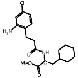 COC(=O)[C@H](CC1CCCCC1)NC(=O)CCc1ccc(Cl)cc1N